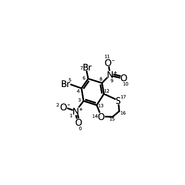 O=[N+]([O-])c1c(Br)c(Br)c([N+](=O)[O-])c2c1OCCS2